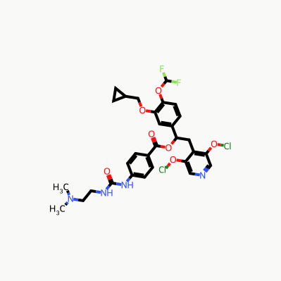 CN(C)CCNC(=O)Nc1ccc(C(=O)OC(Cc2c(OCl)cncc2OCl)c2ccc(OC(F)F)c(OCC3CC3)c2)cc1